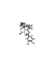 C=CCC/C(=C\N(C)c1ccc(C)c(C)c1)C(=C)NC1CN2CCC1CC2